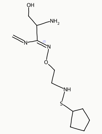 C=N/C(=N\OCCNSC1CCCC1)C(N)CO